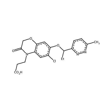 CCC(Oc1cc2c(cc1Cl)N(CCC(=O)O)C(=O)CO2)c1ccc(C)nn1